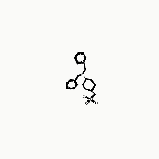 O=S(=O)(Cl)C[C@H]1CC[C@H](N(Cc2ccccc2)Cc2ccccc2)CC1